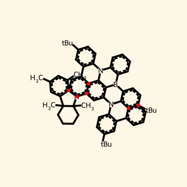 Cc1cc(C)c2c(c1)C1(C)CCCCC1(C)N2c1cc2c3c(c1)N(c1ccc(C(C)(C)C)cc1-c1ccccc1)c1cc(C(C)(C)C)ccc1B3c1ccccc1N2c1ccc(C(C)(C)C)cc1-c1ccccc1